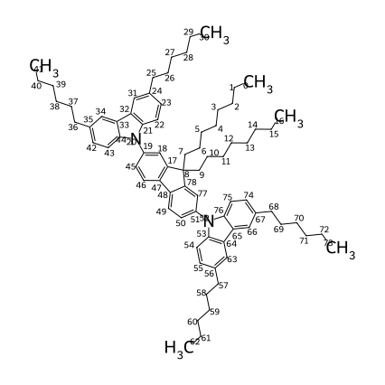 CCCCCCCCC1(CCCCCCCC)c2cc(-n3c4ccc(CCCCCC)cc4c4cc(CCCCCC)ccc43)ccc2-c2ccc(-n3c4ccc(CCCCCC)cc4c4cc(CCCCCC)ccc43)cc21